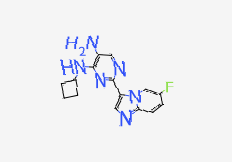 Nc1cnc(-c2cnc3ccc(F)cn23)nc1NC1CCC1